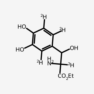 [2H]c1c([2H])c(C(O)C([2H])(N)C(=O)OCC)c([2H])c(O)c1O